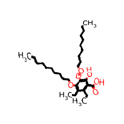 CCCCCCCCCCOOc1c(O)c(C(=O)O)c(CC)c(CC)c1OCCCCCCCCCC